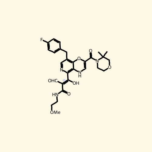 COCCNC(=O)/C(C=O)=C(\O)c1ncc(Cc2ccc(F)cc2)c2c1NC=C(C(=O)N1CCOCC1(C)C)O2